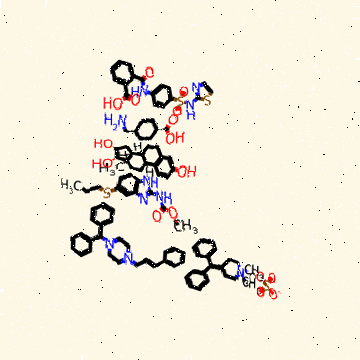 C(=C\c1ccccc1)/CN1CCN(C(c2ccccc2)c2ccccc2)CC1.CCCSc1ccc2[nH]c(NC(=O)OC)nc2c1.COS(=O)(=O)[O-].C[C@]12CC[C@@H]3c4ccc(O)cc4CC[C@H]3[C@@H]1C[C@@H](O)[C@@H]2O.C[N+]1(C)CCC(=C(c2ccccc2)c2ccccc2)CC1.NC[C@H]1CC[C@H](C(=O)O)CC1.O=C(O)c1ccccc1C(=O)Nc1ccc(S(=O)(=O)Nc2nccs2)cc1